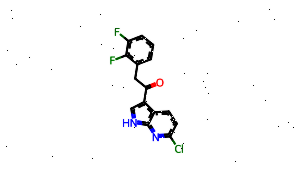 O=C(Cc1cccc(F)c1F)c1c[nH]c2nc(Cl)ccc12